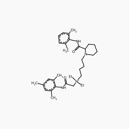 CC[N+](CC)(CCCCN1CCCCC1C(=O)Nc1c(C)cccc1C)CC(=O)Nc1c(C)cc(C)cc1C